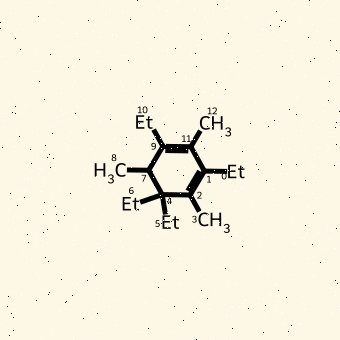 CCC1=C(C)C(CC)(CC)C(C)C(CC)=C1C